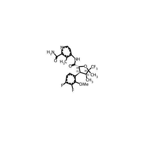 COc1c([C@H]2[C@H](C(=O)Nc3ccnc(C(N)=O)c3C)O[C@@](C)(C(F)(F)F)[C@H]2C)ccc(F)c1F